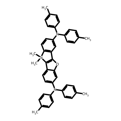 Cc1ccc(N(c2ccc(C)cc2)c2ccc3c(c2)-c2oc4cc(N(c5ccc(C)cc5)c5ccc(C)cc5)ccc4c2[Si]3(C)C)cc1